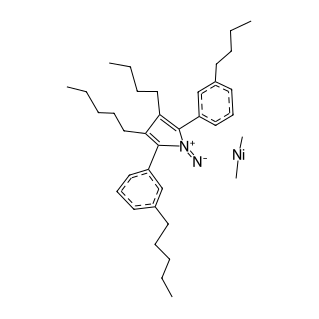 CCCCCC1=C(c2cccc(CCCCC)c2)[N+](=[N-])C(c2cccc(CCCC)c2)=C1CCCC.[CH3][Ni][CH3]